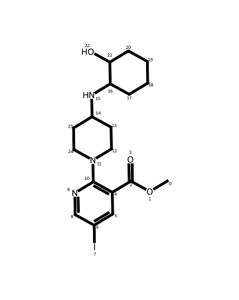 COC(=O)c1cc(I)cnc1N1CCC(NC2CCCCC2O)CC1